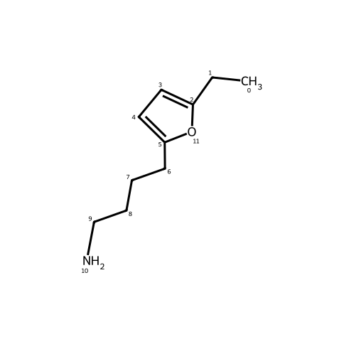 CCc1ccc(CCCCN)o1